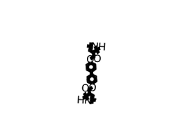 CC1(C)CC(C(=O)OC2CCC(C3CCC(OC(=O)C4CC(C)(C)NC4(C)C)CC3)CC2)C(C)(C)N1